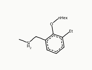 CCCCCCOc1c(CC)cccc1C[SiH2]C